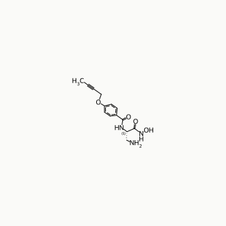 CC#CCOc1ccc(C(=O)N[C@@H](CN)C(=O)NO)cc1